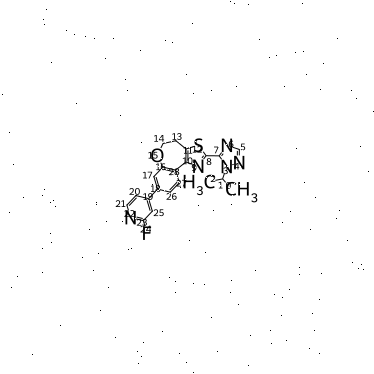 CC(C)n1ncnc1-c1nc2c(s1)CCOc1cc(-c3ccnc(F)c3)ccc1-2